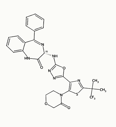 CC(C)(c1nc(-c2nnc(N[C@H]3N=C(c4ccccc4)c4ccccc4NC3=O)o2)c(N2CCOCC2=O)s1)C(F)(F)F